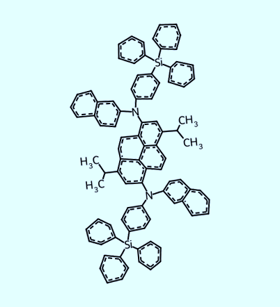 CC(C)c1cc(N(c2ccc([Si](c3ccccc3)(c3ccccc3)c3ccccc3)cc2)c2ccc3ccccc3c2)c2ccc3c(C(C)C)cc(N(c4ccc([Si](c5ccccc5)(c5ccccc5)c5ccccc5)cc4)c4ccc5ccccc5c4)c4ccc1c2c34